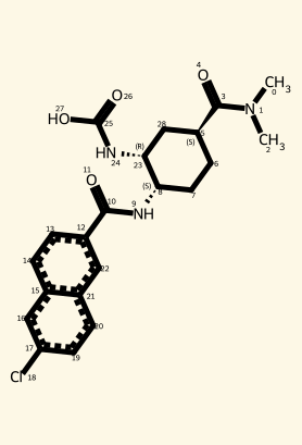 CN(C)C(=O)[C@H]1CC[C@H](NC(=O)c2ccc3cc(Cl)ccc3c2)[C@H](NC(=O)O)C1